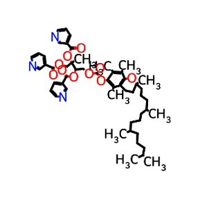 Cc1c(C)c2c(c(C)c1OC(=O)OCC(OC(=O)c1cccnc1)C(C)(COC(=O)c1cccnc1)OC(=O)c1cccnc1)CCC(C)(CCCC(C)CCCC(C)CCCC(C)C)O2